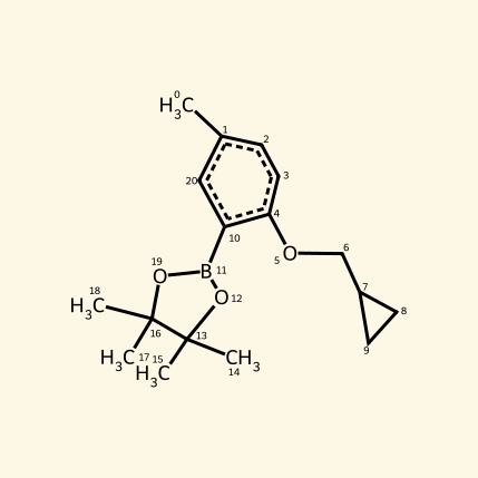 Cc1ccc(OCC2CC2)c(B2OC(C)(C)C(C)(C)O2)c1